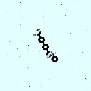 O=S(=O)(OC(=CO)c1ccc(-c2ccc(C(O)=CO)cc2)cc1)c1ccccc1